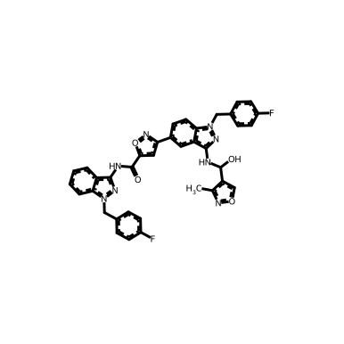 Cc1nocc1C(O)Nc1nn(Cc2ccc(F)cc2)c2ccc(-c3cc(C(=O)Nc4nn(Cc5ccc(F)cc5)c5ccccc45)on3)cc12